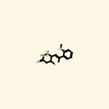 COc1ccccc1/C(C)=C/C1NNC(=O)CC1C